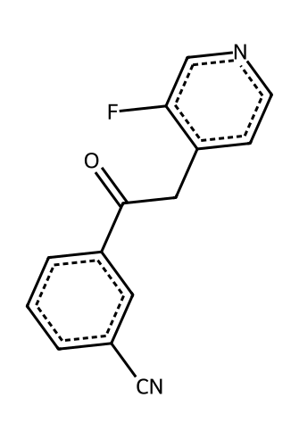 N#Cc1cccc(C(=O)Cc2ccncc2F)c1